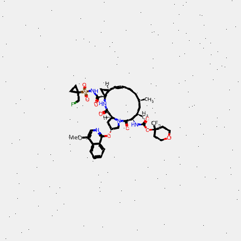 COc1cnc(O[C@@H]2C[C@H]3C(=O)N[C@]4(C(=O)NS(=O)(=O)C5(CF)CC5)C[C@H]4/C=C\CC[C@@H](C)C[C@@H](C)[C@H](NC(=O)OC4(C(F)(F)F)CCOCC4)C(=O)N3C2)c2ccccc12